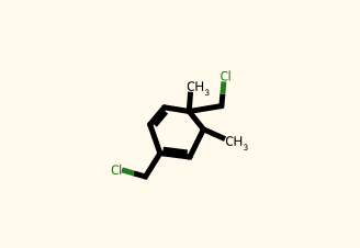 CC1C=C(CCl)C=CC1(C)CCl